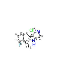 Cc1[nH]c2ccnc(Cl)c2c1Cc1cccc(F)c1